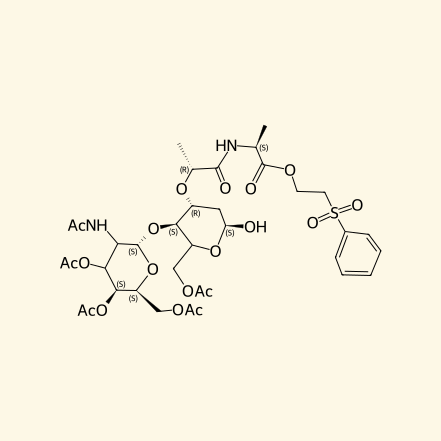 CC(=O)NC1C(OC(C)=O)[C@H](OC(C)=O)[C@H](COC(C)=O)O[C@H]1O[C@@H]1C(COC(C)=O)O[C@H](O)C[C@H]1O[C@H](C)C(=O)N[C@@H](C)C(=O)OCCS(=O)(=O)c1ccccc1